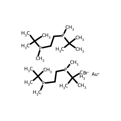 CP(CCP(C)C(C)(C)C)C(C)(C)C.CP(CCP(C)C(C)(C)C)C(C)(C)C.[Au+].[Br-]